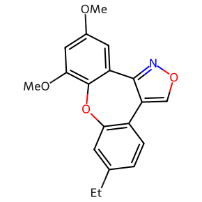 CCc1ccc2c(c1)Oc1c(OC)cc(OC)cc1-c1nocc1-2